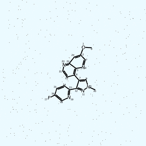 COc1cnc2c(-c3cn(C)nc3-c3ccc(F)cn3)ccnc2c1